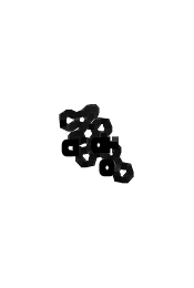 OC1(c2c(Cl)cccc2-c2cccc3c2oc2ccccc23)c2ccccc2C2(c3ccccc3-c3ccccc32)c2ccccc21